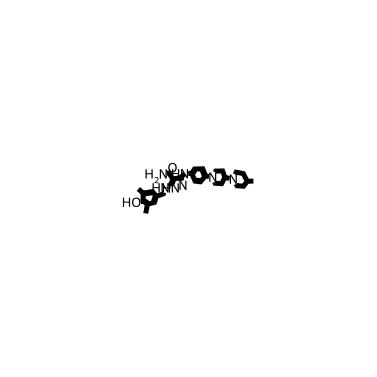 Cc1cc(CNc2[nH]nc(Nc3ccc(N4CCC(N5CCC(C)CC5)CC4)cc3)c2C(N)=O)cc(C)c1O